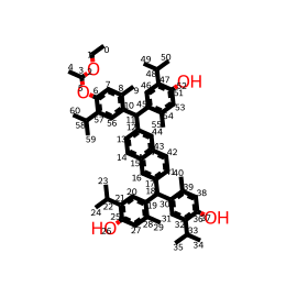 CCOC(C)Oc1cc(C)c(C(c2ccc3cc(C(c4cc(C(C)C)c(O)cc4C)c4cc(C(C)C)c(O)cc4C)ccc3c2)c2cc(C(C)C)c(O)cc2C)cc1C(C)C